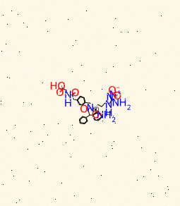 NC(=O)[C@@H](CCCNC(N)=N[N+](=O)[O-])N(Cc1ccc(CC(=O)NCC(=O)O)cc1)C(=O)C(c1ccccc1)c1ccccc1